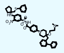 CN(C)CCOC1(Cc2ccccc2-c2ccccc2)CCN(c2ccc(C(=O)NS(=O)(=O)c3ccc(NC4(CSc5ccccc5)CCCC4)c([N+](=O)[O-])c3)cc2)CC1